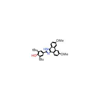 COc1ccc2c(c1)c1cc(OC)ccc1c1[nH]c(-c3cc(C(C)(C)C)c(O)c(C(C)(C)C)c3)nc21